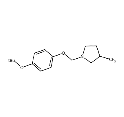 CC(C)(C)Oc1ccc(OCN2CCC(C(F)(F)F)C2)cc1